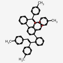 Cc1ccc(C=C(c2ccc(C)cc2)c2ccccc2-c2ccc(-c3ccccc3C(=Cc3ccc(C)cc3)c3ccc(C)cc3)c3ccccc23)cc1